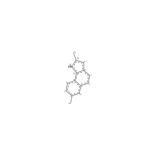 Cc1ccc2c(ccc3cc(C)[nH]c32)c1